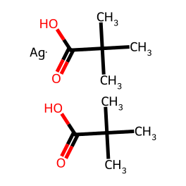 CC(C)(C)C(=O)O.CC(C)(C)C(=O)O.[Ag]